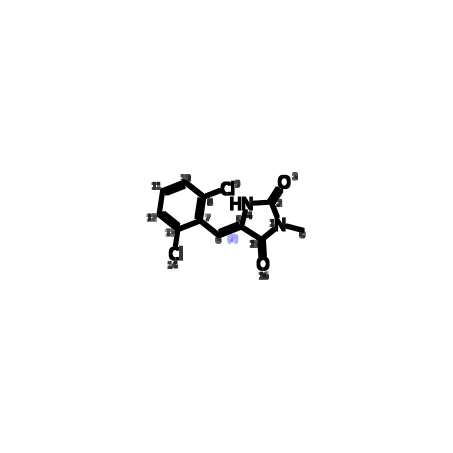 CN1C(=O)N/C(=C\c2c(Cl)cccc2Cl)C1=O